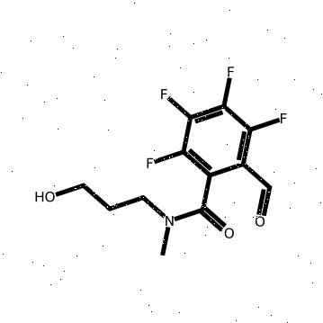 CN(CCCO)C(=O)c1c(F)c(F)c(F)c(F)c1C=O